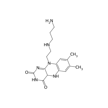 Cc1cc2c(cc1C)N(CCNCCCN)C1=NC(=O)NC(=O)C1N2